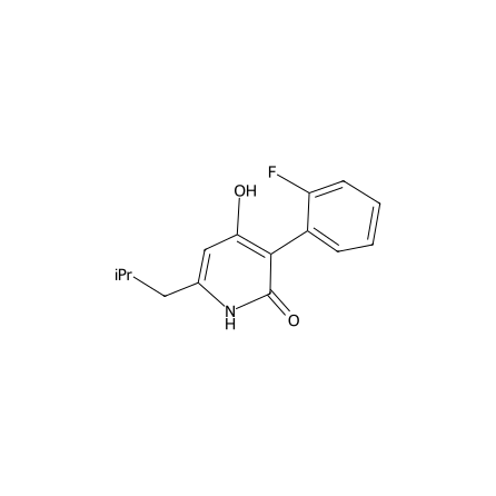 CC(C)Cc1cc(O)c(-c2ccccc2F)c(=O)[nH]1